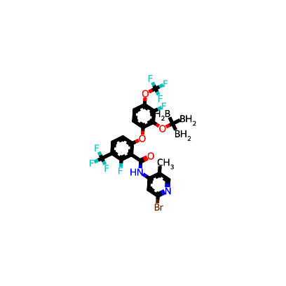 BC(B)(B)Oc1c(Oc2ccc(C(F)(F)F)c(F)c2C(=O)Nc2cc(Br)ncc2C)ccc(OC(F)(F)F)c1F